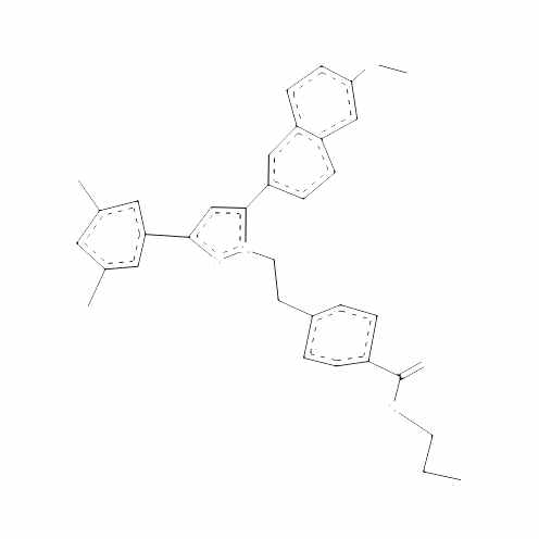 CCCNC(=O)c1ccc(CCn2nc(-c3cc(C)cc(C)c3)cc2-c2ccc3cc(OC)ccc3c2)cc1